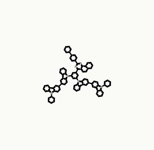 c1ccc(-c2ccc(-c3nc(-c4cc(-n5c6ccccc6c6cc(-c7ccc8c(c7)c7ccccc7n8-c7ccccc7)ccc65)cc(-n5c6ccccc6c6cc(-c7ccc8c(c7)c7ccccc7n8-c7ccccc7)ccc65)c4)c4ccc5ccccc5c4n3)cc2)cc1